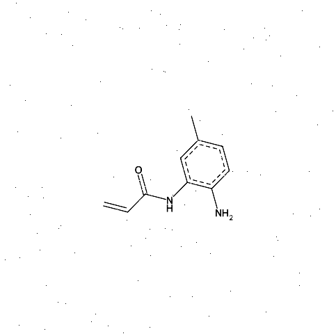 C=CC(=O)Nc1cc(C)ccc1N